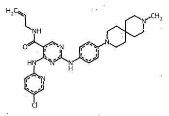 C=CCNC(=O)c1cnc(Nc2ccc(N3CCC4(CCN(C)CC4)CC3)cc2)nc1Nc1ccc(Cl)cn1